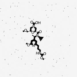 COC[C@@H]1CN(C(=O)O)C[C@H](C(=O)N(C2CC2)[C@H](C)c2cc(CCCNC(=O)OC)nc(OC)c2)O1